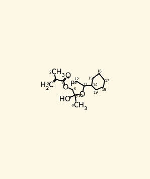 C=C(C)C(=O)OCC(C)(O)OC(CF)C1CCCCC1